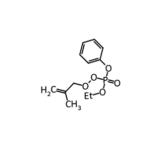 C=C(C)COOP(=O)(OCC)Oc1ccccc1